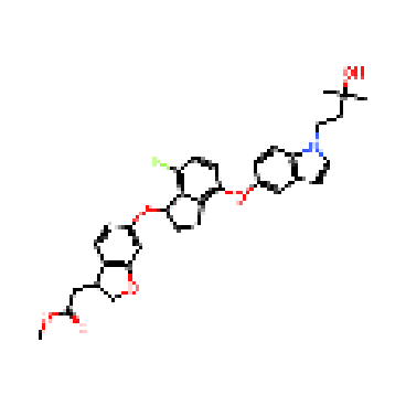 COC(=O)CC1COc2cc(O[C@@H]3CCc4c(Oc5ccc6c(ccn6CCC(C)(C)O)c5)ccc(F)c43)ccc21